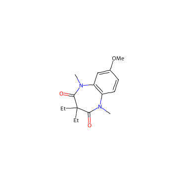 CCC1(CC)C(=O)N(C)c2ccc(OC)cc2N(C)C1=O